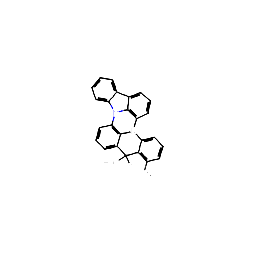 CC1(C)c2cccc3c2B(c2cccc(C#N)c21)c1cccc2c4ccccc4n-3c12